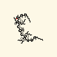 CCCCCCc1ccc(-c2ccc(-c3ccc(C4=C5C(=O)N(CC(CC)CCCC)C(c6ccc(-c7ccc(-c8ccc(C9=C%10C(=O)N(CC(CC)CCCC)C(c%11ccc(-c%12ccc(-c%13ccc(CCCCCC)s%13)s%12)s%11)=C%10C(=O)N9CC(CC)CCCC)s8)c8nsnc78)s6)=C5C(=O)N4CC(CC)CCCC)s3)s2)s1